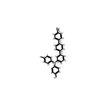 Cc1ccc(N(c2ccc(C)cc2)c2cccc(-c3ccc(-c4ccc(Br)cc4)cc3)c2)cc1